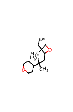 CC(C)(C)CC1(C)COC1CC(C)(C)C1CCOCC1